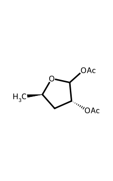 CC(=O)OC1O[C@H](C)C[C@H]1OC(C)=O